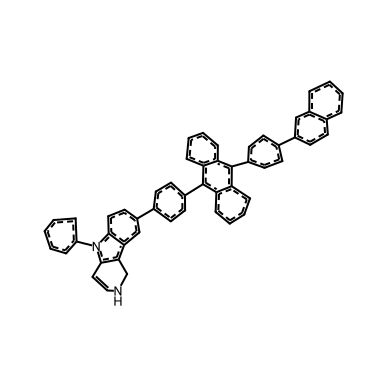 C1=Cc2c(c3cc(-c4ccc(-c5c6ccccc6c(-c6ccc(-c7ccc8ccccc8c7)cc6)c6ccccc56)cc4)ccc3n2-c2ccccc2)CN1